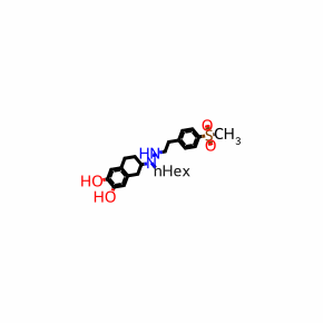 CCCCCCN(NCCc1ccc(S(C)(=O)=O)cc1)C1CCc2cc(O)c(O)cc2C1